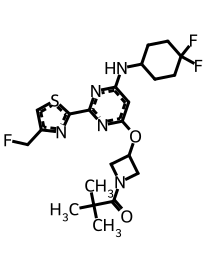 CC(C)(C)C(=O)N1CC(Oc2cc(NC3CCC(F)(F)CC3)nc(-c3nc(CF)cs3)n2)C1